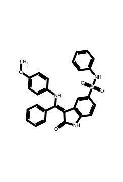 COc1ccc(NC(=C2C(=O)Nc3ccc(S(=O)(=O)Nc4ccccc4)cc32)c2ccccc2)cc1